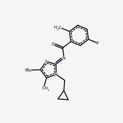 Cc1ccc(F)cc1C(=O)/N=c1\sc(C(C)(C)C)c(C)n1CC1CC1